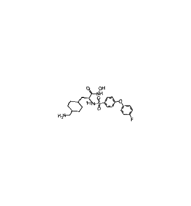 NCC1CCC(C[C@H](NS(=O)(=O)c2ccc(Oc3ccc(F)cc3)cc2)C(=O)NO)CC1